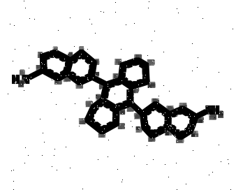 Nc1ccc2ccc(-c3c4ccccc4c(-c4ccc5ccc(N)cc5c4)c4ccccc34)cc2c1